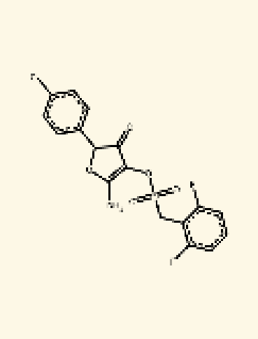 NC1=C(OS(=O)(=O)Cc2c(F)cccc2F)C(=O)C(c2ccc(Cl)cc2)O1